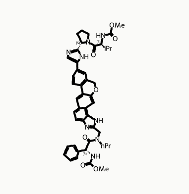 CCCN(Cc1nc2ccc3cc4c(cc3c2[nH]1)OCc1cc(-c2cnc([C@@H]3CCCN3C(=O)[C@@H](NC(=O)OC)C(C)C)[nH]2)ccc1-4)C(=O)[C@H](NC(=O)OC)c1ccccc1